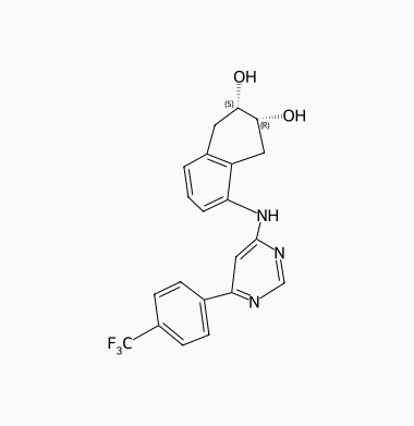 O[C@@H]1Cc2c(cccc2Nc2cc(-c3ccc(C(F)(F)F)cc3)ncn2)C[C@@H]1O